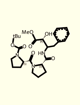 COC(=O)[C@H](O)C(Cc1ccccc1)NC(=O)[C@@H]1CCCN1C(=O)[C@@H]1CCCN1C(=O)OC(C)(C)C